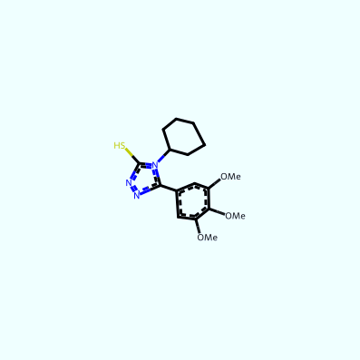 COc1cc(-c2nnc(S)n2C2CCCCC2)cc(OC)c1OC